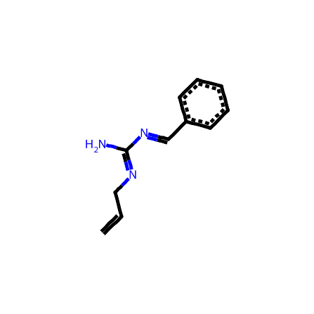 C=CCN=C(N)N=Cc1ccccc1